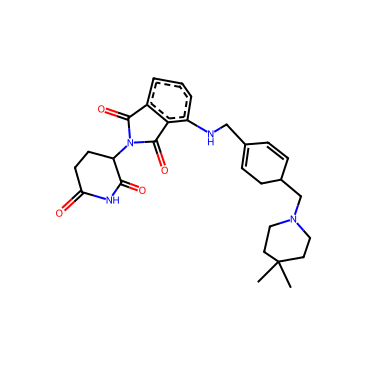 CC1(C)CCN(CC2C=CC(CNc3cccc4c3C(=O)N(C3CCC(=O)NC3=O)C4=O)=CC2)CC1